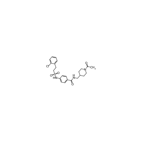 CC(=O)N1CCC(CNC(=O)c2ccc(NS(=O)(=O)CCc3ccccc3Cl)cc2)CC1